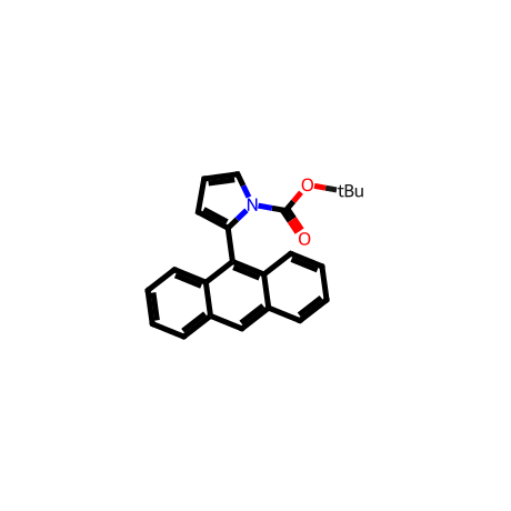 CC(C)(C)OC(=O)n1cccc1-c1c2ccccc2cc2ccccc12